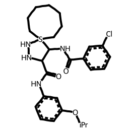 CC(C)Oc1cccc(NC(=O)C2NNS3(CCCCCCC3)C2NC(=O)c2cccc(Cl)c2)c1